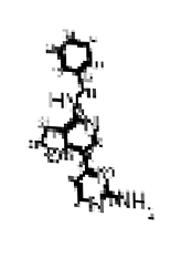 Nc1nccc(-c2cnc(NCc3ccccc3)c3c2OCC3)n1